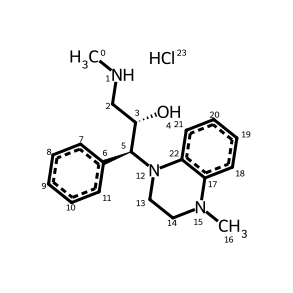 CNC[C@H](O)[C@H](c1ccccc1)N1CCN(C)c2ccccc21.Cl